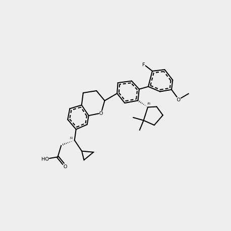 COc1ccc(F)c(-c2ccc(C3CCc4ccc([C@@H](CC(=O)O)C5CC5)cc4O3)cc2[C@@H]2CCCC2(C)C)c1